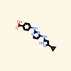 O=C(O)c1ccc(Nc2nccc(Nc3cc(C4CC4)n[nH]3)n2)cc1